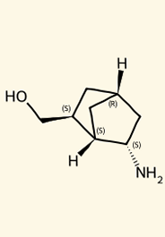 N[C@H]1C[C@H]2C[C@H](CO)[C@@H]1C2